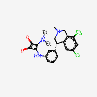 CCN(CC)c1c(Nc2cccc([C@@H]3CN(C)Cc4c(Cl)cc(Cl)cc43)c2)c(=O)c1=O